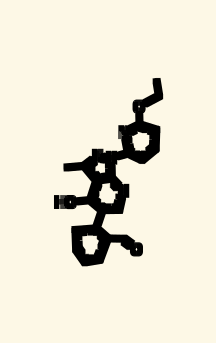 CCOc1cccc(-n2nc(C)c3c(O)c(-c4ccccc4C=O)cnc32)n1